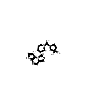 C[C@@H]1CCN(C(=O)N2CCC(F)(F)C2)C[C@@H]1c1ncc2cnc3[nH]ccc3n12